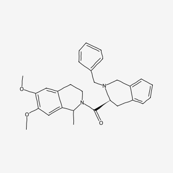 COc1cc2c(cc1OC)C(C)N(C(=O)[C@@H]1Cc3ccccc3CN1Cc1ccccc1)CC2